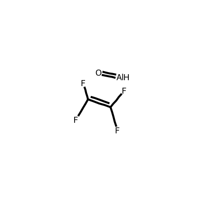 FC(F)=C(F)F.[O]=[AlH]